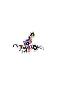 CC(=O)OCC1=C(C(=O)OCc2ccc([N+](=O)[O-])cc2)N2C(=O)C(NC(=O)Cc3cccs3)[C@@H]2SC1=COC=O